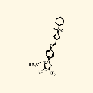 C[C@@H]1C(C(F)(F)F)=NN(c2ccc(OCC3CN(S(=O)(=O)C4CCCCC4)C3)cc2)[C@H]1CC(=O)O